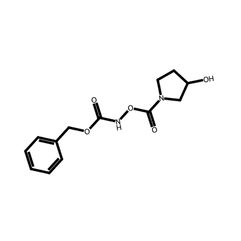 O=C(NOC(=O)N1CCC(O)C1)OCc1ccccc1